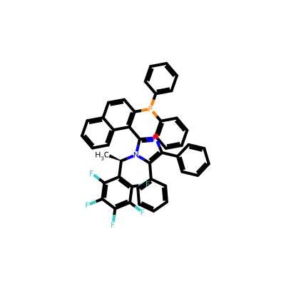 C[C@H](c1c(F)c(F)c(F)c(F)c1F)n1c(-c2c(P(c3ccccc3)c3ccccc3)ccc3ccccc23)nc(-c2ccccc2)c1-c1ccccc1